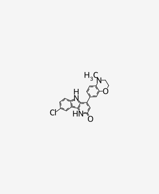 CN1CCOc2cc(-c3cc(=O)[nH]c4c3[nH]c3ccc(Cl)cc34)ccc21